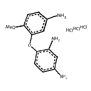 COc1ccc(N)cc1Oc1ccc(N)cc1N.Cl.Cl.Cl